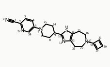 N#Cc1ccc(N2CCC(c3nc4c(s3)CCN(C3=CC=C3)CC4)CC2)cn1